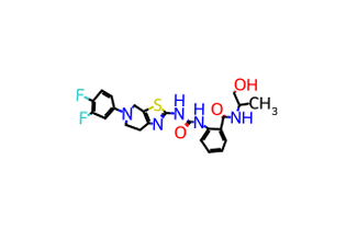 CC(CO)NC(=O)c1ccccc1NC(=O)Nc1nc2c(s1)CN(c1ccc(F)c(F)c1)CC2